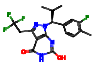 Cc1ccc([C@H](C(C)C)n2nc(CC(F)(F)F)c3c(=O)[nH]c(O)nc32)cc1F